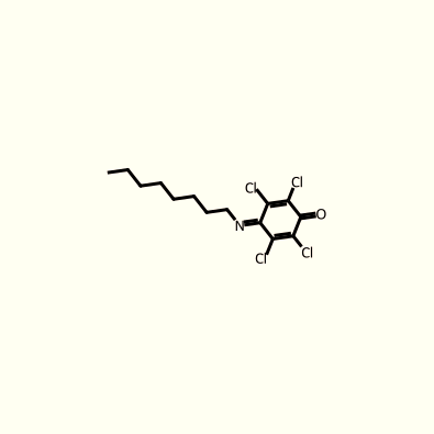 CCCCCCCCN=C1C(Cl)=C(Cl)C(=O)C(Cl)=C1Cl